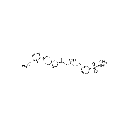 CNS(=O)(=O)c1cccc(OCC(O)CN[C@H]2COC3(CCN(c4nccc(C)n4)CC3)C2)c1